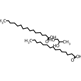 CC(O)CO.CCCCCCCCCCCCCCC(=O)O.CCCCCCCCCCCCCCC(=O)O